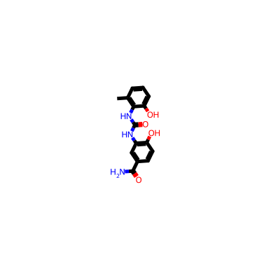 Cc1cccc(O)c1NC(=O)Nc1cc(C(N)=O)ccc1O